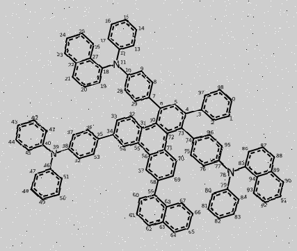 c1ccc(-c2cc(-c3ccc(N(c4ccccc4)c4cccc5ccccc45)cc3)c3c4ccc(-c5ccc(N(c6ccccc6)c6ccccc6)cc5)cc4c4cc(-c5cccc6ccccc56)ccc4c3c2-c2ccc(N(c3ccccc3)c3cccc4ccccc34)cc2)cc1